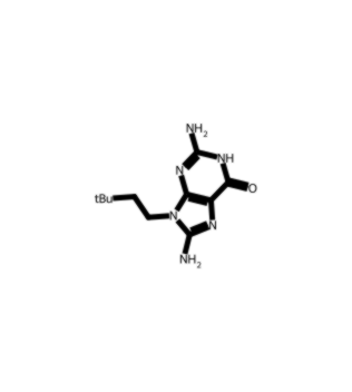 CC(C)(C)CCn1c(N)nc2c(=O)[nH]c(N)nc21